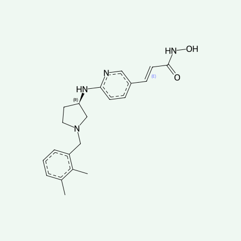 Cc1cccc(CN2CC[C@@H](Nc3ccc(/C=C/C(=O)NO)cn3)C2)c1C